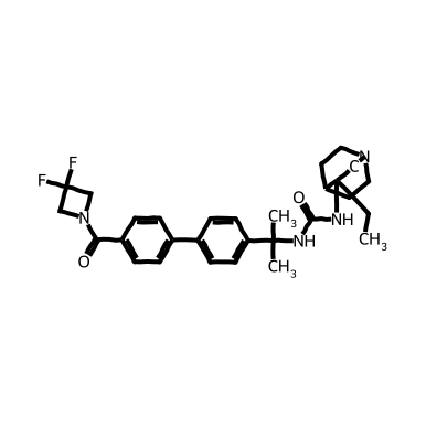 CCC1(NC(=O)NC(C)(C)c2ccc(-c3ccc(C(=O)N4CC(F)(F)C4)cc3)cc2)CN2CCC1CC2